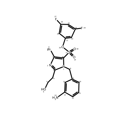 CC(C)c1nc(CCO)n(Cc2cccc(N)c2)c1S(=O)(=O)Oc1cc(F)cc(F)c1